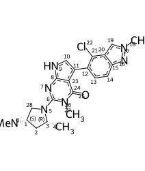 CN[C@H]1C[C@@H](C)N(c2nc3[nH]cc(-c4ccc5nn(C)cc5c4Cl)c3c(=O)n2C)C1